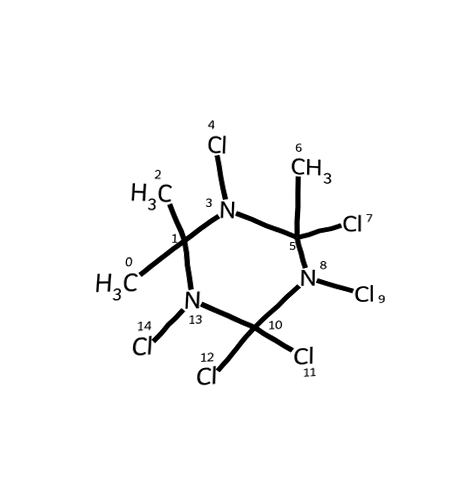 CC1(C)N(Cl)C(C)(Cl)N(Cl)C(Cl)(Cl)N1Cl